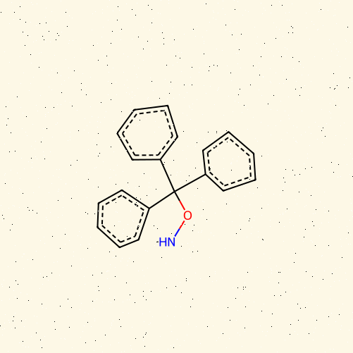 [NH]OC(c1ccccc1)(c1ccccc1)c1ccccc1